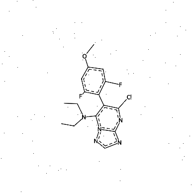 CCN(CC)c1c(-c2c(F)cc(OC)cc2F)c(Cl)nc2ncnn12